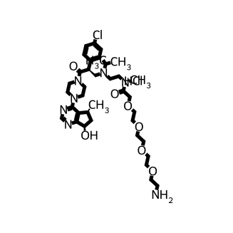 CC(C)N(CCN(C)C(=O)COCCOCCOCCOCCN)C[C@@H](C(=O)N1CCN(c2ncnc3c2[C@H](C)C[C@H]3O)CC1)c1ccc(Cl)cc1.Cl